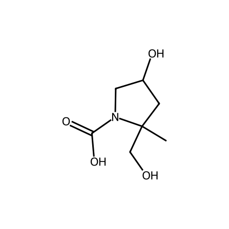 CC1(CO)CC(O)CN1C(=O)O